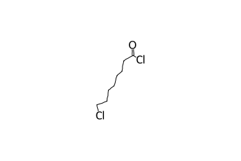 O=C(Cl)CCCCCCCCl